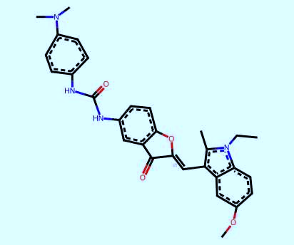 CCn1c(C)c(/C=C2\Oc3ccc(NC(=O)Nc4ccc(N(C)C)cc4)cc3C2=O)c2cc(OC)ccc21